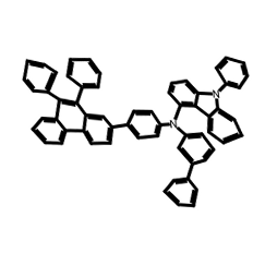 c1ccc(-c2cccc(N(c3ccc(-c4ccc5c(c4)c(-c4ccccc4)c(-c4ccccc4)c4ccccc45)cc3)c3cccc4c3c3ccccc3n4-c3ccccc3)c2)cc1